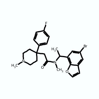 CC(c1cc(Br)cc2ccoc12)N(C)C(=O)CC1(c2ccc(F)cc2)CCN(C)CC1